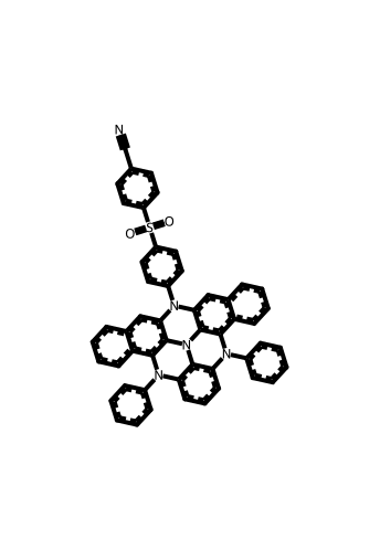 N#Cc1ccc(S(=O)(=O)c2ccc(N3c4cc5ccccc5c5c4N4c6c(cccc6N(c6ccccc6)c6c4c3cc3ccccc63)N5c3ccccc3)cc2)cc1